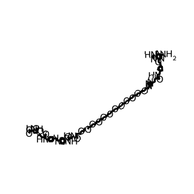 Nc1nc(OCc2ccc(CNC(=O)CCc3cn(CCOCCOCCOCCOCCOCCOCCOCCOCCOCCOCCOCCOCCC(=O)NCC(=O)Nc4ccc(N=Nc5ccc(NC(=O)CCC[C@H](C[C@H](N)C(=O)O)C(=O)O)cc5)cc4)nn3)cc2)c2nc[nH]c2n1